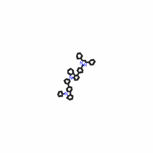 c1ccc(-c2cc(-c3ccccc3)nc(-c3ccc(-c4cccc5c4c4ccccc4n5-c4cccc(-c5ccc6c7ccccc7n(-c7ccccc7)c6c5)c4)cc3)n2)cc1